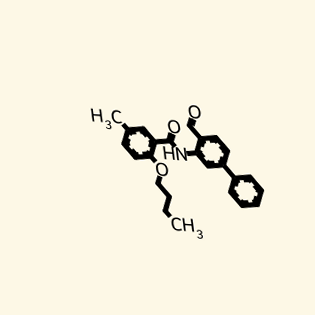 CCCCOc1ccc(C)cc1C(=O)Nc1cc(-c2ccccc2)ccc1C=O